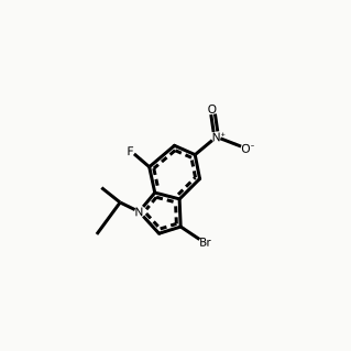 CC(C)n1cc(Br)c2cc([N+](=O)[O-])cc(F)c21